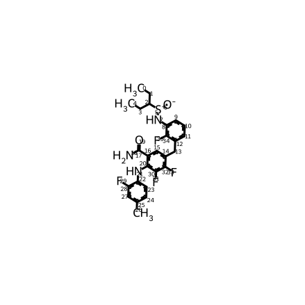 CCC(CC)[S+]([O-])Nc1cccc(Cc2cc(C(N)=O)c(Nc3ccc(C)cc3F)c(F)c2F)c1F